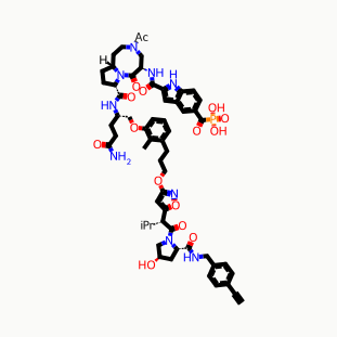 C#Cc1ccc(CNC(=O)[C@@H]2C[C@@H](O)CN2C(=O)[C@@H](c2cc(OCCCc3cccc(OC[C@H](CCC(N)=O)NC(=O)[C@@H]4CC[C@@H]5CCN(C(C)=O)C[C@H](NC(=O)c6cc7cc(C(=O)P(=O)(O)O)ccc7[nH]6)C(=O)N54)c3C)no2)C(C)C)cc1